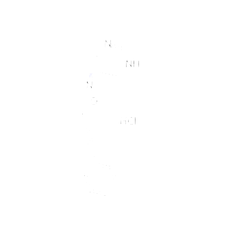 C(#Cc1ccccc1)CO/N=C1/CN=CNC1.Cl